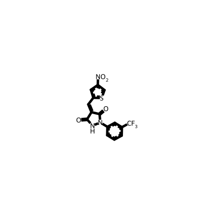 O=C1NN(c2cccc(C(F)(F)F)c2)C(=O)C1=Cc1cc([N+](=O)[O-])cs1